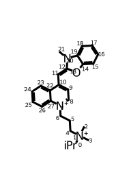 CC(C)[N+](C)(C)CCC[n+]1ccc(/C=C2\Oc3ccccc3N2C)c2ccccc21